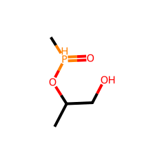 CC(CO)O[PH](C)=O